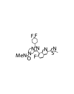 CNC(=O)N1CCn2c(C3CCC(F)(F)CC3)nc(-c3c(F)ccc4cc(-c5cnc(C)s5)ncc34)c2C1